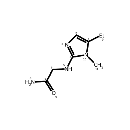 CCc1cnc(NCC(N)=O)n1C